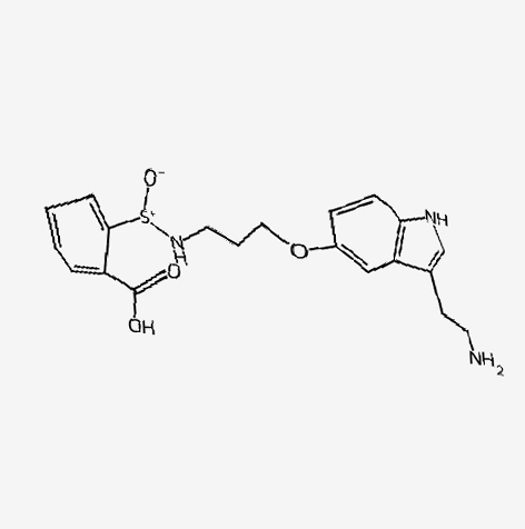 NCCc1c[nH]c2ccc(OCCCN[S+]([O-])c3ccccc3C(=O)O)cc12